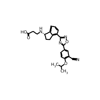 CC(C)Oc1ccc(-c2nc(-c3cccc4c3CC[C@@H]4NCCC(=O)O)no2)cc1C#N